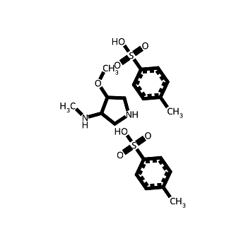 CNC1CNCC1OC.Cc1ccc(S(=O)(=O)O)cc1.Cc1ccc(S(=O)(=O)O)cc1